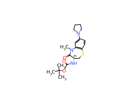 CN1C(=O)[C@@H](NC(=O)OC(C)(C)C)CSc2ccc(N3CCCC3)cc21